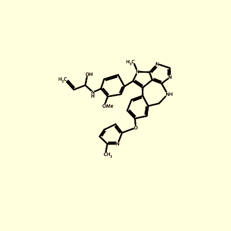 C=CC(O)Nc1ccc(-c2c3c4c(ncnc4n2C)NCc2cc(Oc4cccc(C)n4)ccc2-3)cc1OC